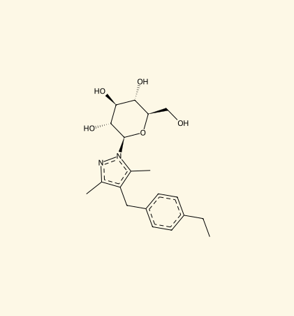 CCc1ccc(Cc2c(C)nn([C@@H]3O[C@H](CO)[C@@H](O)[C@H](O)[C@H]3O)c2C)cc1